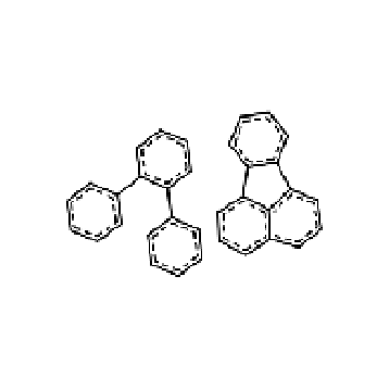 c1ccc(-c2ccccc2-c2ccccc2)cc1.c1ccc2c(c1)-c1cccc3cccc-2c13